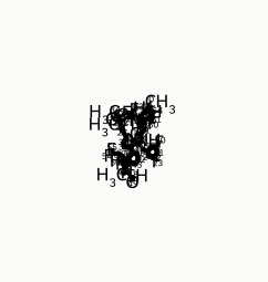 C[C@@H]1[C@@H]2c3c(C(F)(F)F)nn(CC(=O)N[C@@H](Cc4cc(F)cc(F)c4)c4nc(C#CC(C)(C)S(C)(=O)=O)ccc4-c4cccc5c(N(C)[SH]=O)nn(CC(F)(F)F)c45)c3C(F)(F)[C@H]12